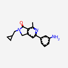 Cc1nc(-c2cccc(N)c2)cc2c1C(=O)N(CC1CC1)C2